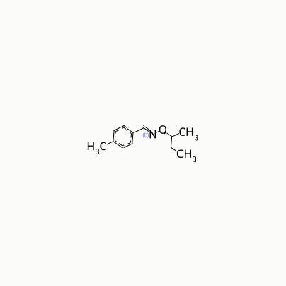 CCC(C)O/N=[C]/c1ccc(C)cc1